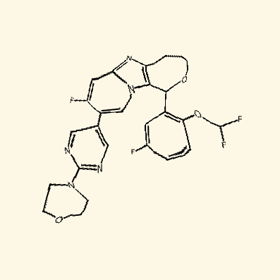 Fc1ccc(OC(F)F)c(C2OCCc3nc4cc(F)c(-c5cnc(N6CCOCC6)nc5)cn4c32)c1